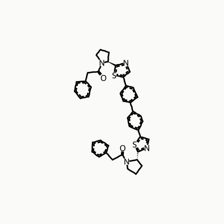 O=C(Cc1ccccc1)N1CCC[C@H]1c1ncc(-c2ccc(-c3ccc(-c4cnc([C@@H]5CCCN5C(=O)Cc5ccccc5)s4)cc3)cc2)s1